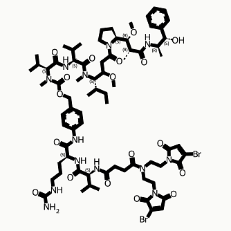 CCC(C)[C@@H](C(CC(=O)N1CCC[C@H]1[C@H](OC)[C@@H](C)C(=O)N[C@H](C)[C@@H](O)c1ccccc1)OC)N(C)C(=O)[C@@H](NC(=O)[C@H](C(C)C)N(C)C(=O)OCc1ccc(NC(=O)[C@H](CCCNC(N)=O)NC(=O)[C@@H](NC(=O)CCC(=O)N(CCN2C(=O)C=C(Br)C2=O)CCN2C(=O)C=C(Br)C2=O)C(C)C)cc1)C(C)C